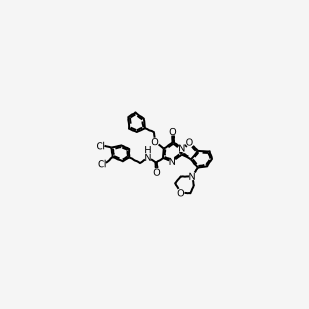 O=C(NCc1ccc(Cl)c(Cl)c1)c1nc2c3c(N4CCOCC4)cccc3on2c(=O)c1OCc1ccccc1